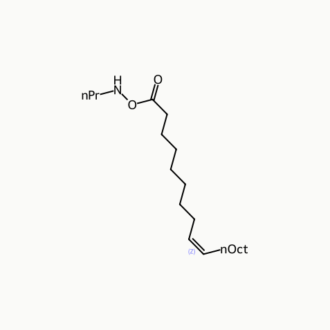 CCCCCCCC/C=C\CCCCCCCC(=O)ONCCC